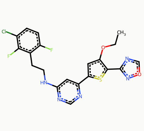 CCOc1cc(-c2cc(NCCc3c(F)ccc(Cl)c3F)ncn2)sc1-c1ncon1